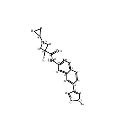 Cn1cc(-c2ccc3cnc(NC(=O)C4(F)CN(C5CC5)C4)cc3c2)cn1